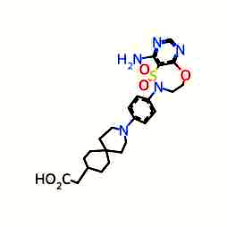 Nc1ncnc2c1S(=O)(=O)N(c1ccc(N3CCC4(CCC(CC(=O)O)CC4)CC3)cc1)CCO2